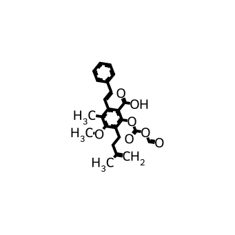 C=C(C)CCc1c(OC)c(C)c(C=Cc2ccccc2)c(C(=O)O)c1OC(=O)OC=O